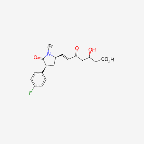 CC(C)N1C(=O)[C@H](c2ccc(F)cc2)C[C@@H]1C=CC(=O)C[C@@H](O)CC(=O)O